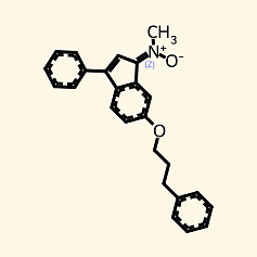 C/[N+]([O-])=C1\C=C(c2ccccc2)c2ccc(OCCCc3ccccc3)cc21